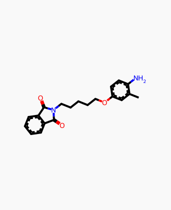 Cc1cc(OCCCCCN2C(=O)c3ccccc3C2=O)ccc1N